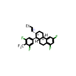 CC/C=C/[C@@H]1CC[C@H]2c3cc(F)cc(F)c3CC[C@@H]2[C@H]1c1cc(F)c(C(F)(F)F)c(F)c1